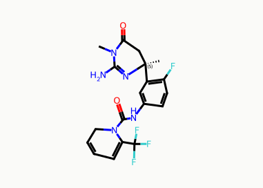 CN1C(=O)C[C@@](C)(c2cc(NC(=O)N3CC=CC=C3C(F)(F)F)ccc2F)N=C1N